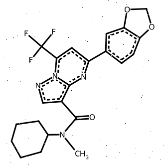 CN(C(=O)c1cnn2c(C(F)(F)F)cc(-c3ccc4c(c3)OCO4)nc12)C1CCCCC1